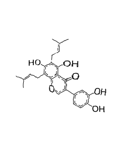 CC(C)=CCc1c(O)c(CC=C(C)C)c2occ(-c3ccc(O)c(O)c3)c(=O)c2c1O